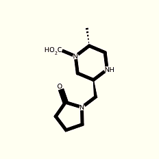 C[C@@H]1CN[C@@H](CN2CCCC2=O)CN1C(=O)O